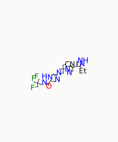 CCc1n[nH]cc1-c1cnn(C2(CC#N)CN(c3cnc(C(=O)NCC(CF)(CF)CF)cn3)C2)c1